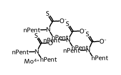 CCCCCN(CCCCC)C([O-])=S.CCCCCN(CCCCC)C([O-])=S.CCCCCN(CCCCC)C([O-])=S.CCCCCN(CCCCC)C([O-])=S.[Mo+4]